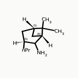 CCC[C@H]1C[C@H]2C[C@@H](C1N)C2(C)C